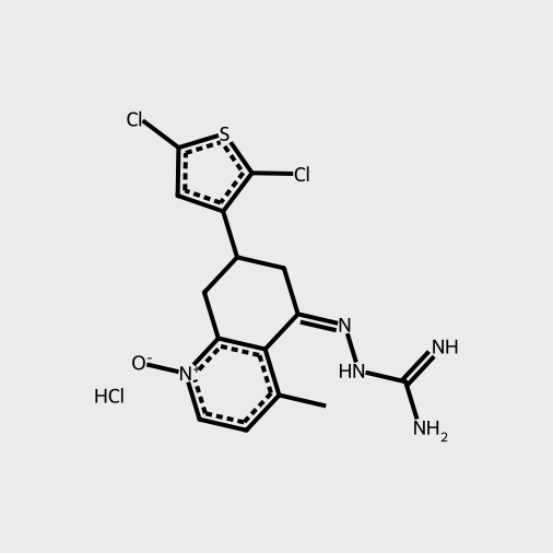 Cc1cc[n+]([O-])c2c1/C(=N\NC(=N)N)CC(c1cc(Cl)sc1Cl)C2.Cl